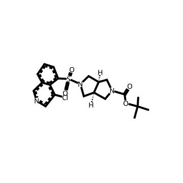 CC(C)(C)OC(=O)N1C[C@@H]2CN(S(=O)(=O)c3cccc4cncc(Cl)c34)C[C@@H]2C1